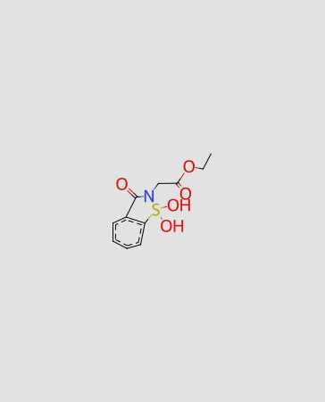 CCOC(=O)CN1C(=O)c2ccccc2S1(O)O